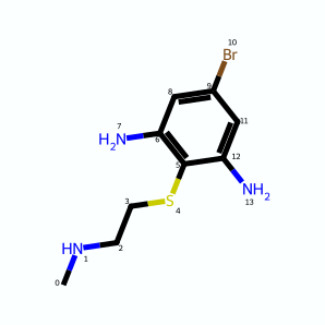 CNCCSc1c(N)cc(Br)cc1N